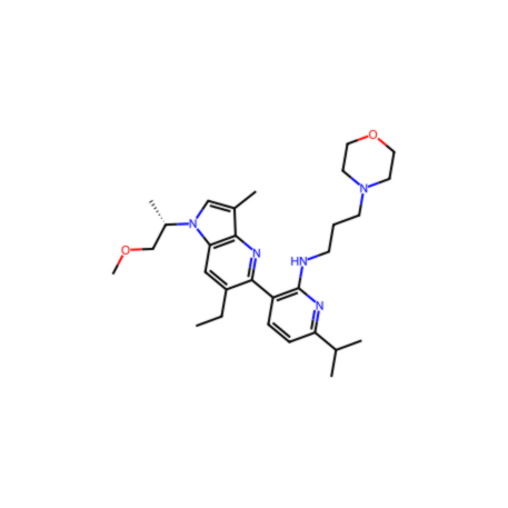 CCc1cc2c(nc1-c1ccc(C(C)C)nc1NCCCN1CCOCC1)c(C)cn2[C@@H](C)COC